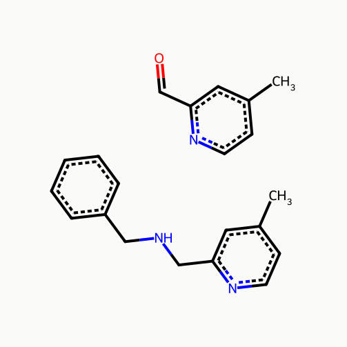 Cc1ccnc(C=O)c1.Cc1ccnc(CNCc2ccccc2)c1